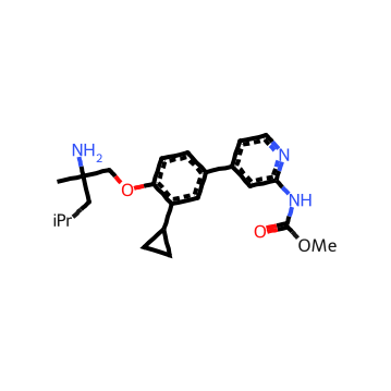 COC(=O)Nc1cc(-c2ccc(OCC(C)(N)CC(C)C)c(C3CC3)c2)ccn1